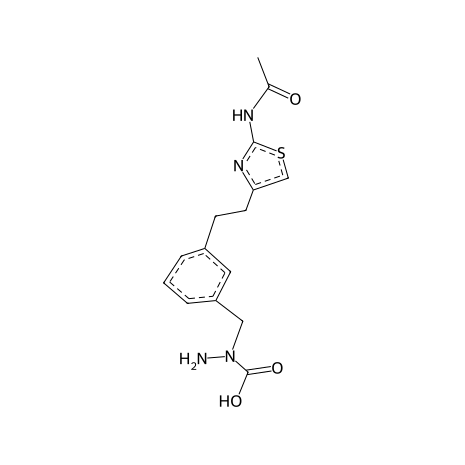 CC(=O)Nc1nc(CCc2cccc(CN(N)C(=O)O)c2)cs1